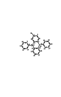 Cc1ccc2c(c1)N(c1ccccc1)c1ccccc1C2c1ccccc1